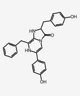 O=C1C(Cc2ccc(O)cc2)NC2=C(Cc3ccccc3)NC(c3ccc(O)cc3)=CN12